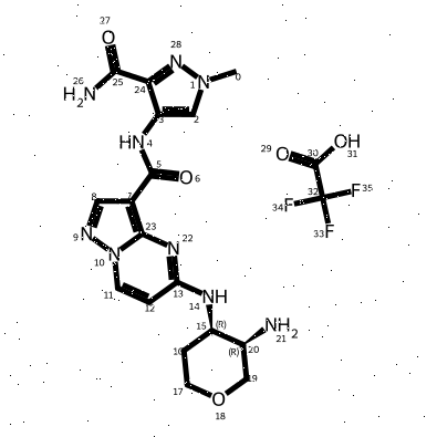 Cn1cc(NC(=O)c2cnn3ccc(N[C@@H]4CCOC[C@@H]4N)nc23)c(C(N)=O)n1.O=C(O)C(F)(F)F